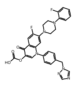 O=C(O)Oc1cn(-c2ccc(Cn3cncn3)cc2)c2cc(N3CCN(c4ccccc4F)CC3)c(F)cc2c1=O